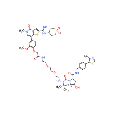 COc1cc(-c2cn(C)c(=O)c3cc(C(=N)NC4CCS(=O)(=O)CC4)sc23)ccc1OCC(=O)NCCOCCOCCN[C@H](C(=O)N1C[C@H](O)C[C@H]1C(=O)NCc1ccc(-c2scnc2C)cc1)C(C)(C)C